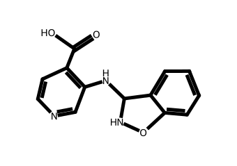 O=C(O)c1ccncc1NC1NOc2ccccc21